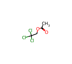 CC(=O)OCC(Cl)(Cl)Cl